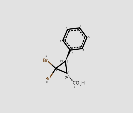 O=C(O)[C@H]1[C@H](c2ccccc2)C1(Br)Br